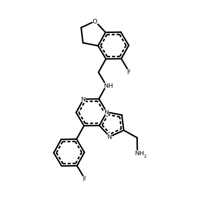 NCc1cn2c(NCc3c(F)ccc4c3CCO4)ncc(-c3cccc(F)c3)c2n1